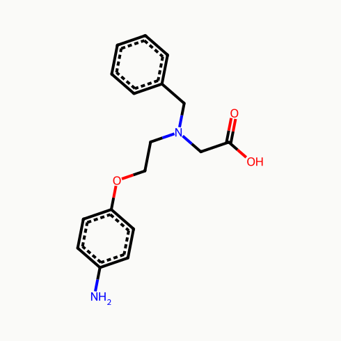 Nc1ccc(OCCN(CC(=O)O)Cc2ccccc2)cc1